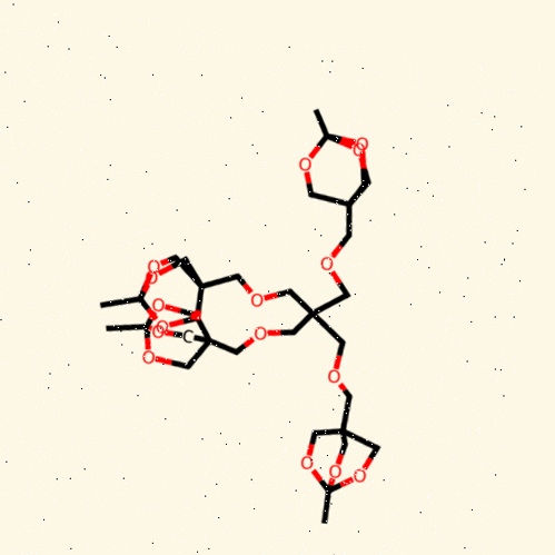 CC12OCC(COCC(COCC34COC(C)(OC3)OC4)(COCC34COC(C)(OC3)OC4)COCC34COC(C)(OC3)OC4)(CO1)CO2